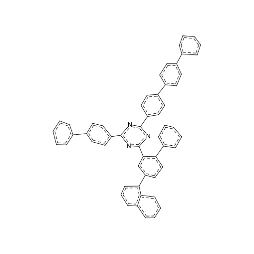 c1ccc(-c2ccc(-c3ccc(-c4nc(-c5ccc(-c6ccccc6)cc5)nc(-c5cc(-c6cccc7ccccc67)ccc5-c5ccccc5)n4)cc3)cc2)cc1